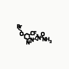 NC(=O)N1CC(n2cnc3cc(OCCBr)cc(C(F)(F)F)c32)C1